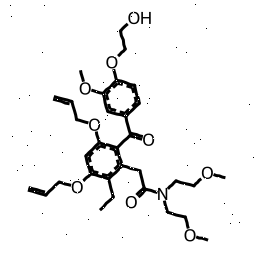 C=CCOc1cc(OCC=C)c(C(=O)c2ccc(OCCO)c(OC)c2)c(CC(=O)N(CCOC)CCOC)c1CC